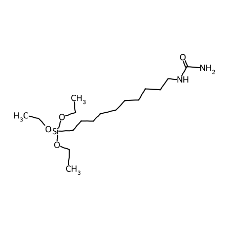 CCO[Si](CCCCCCCCCCNC(N)=O)(OCC)OCC